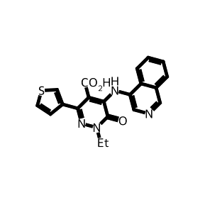 CCn1nc(-c2ccsc2)c(C(=O)O)c(Nc2cncc3ccccc23)c1=O